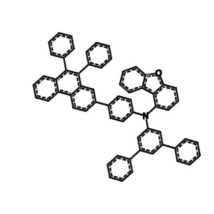 c1ccc(-c2cc(-c3ccccc3)cc(N(c3ccc(-c4ccc5c(c4)c(-c4ccccc4)c(-c4ccccc4)c4ccccc45)cc3)c3cccc4oc5ccccc5c34)c2)cc1